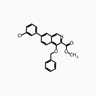 COC(=O)c1ncc2cc(-c3cccc(Cl)c3)ccc2c1OCc1ccccc1